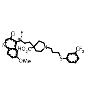 COc1ccc2ncc(Cl)c([C@H](F)CCC3(C(=O)O)CCN(CCCSc4cccc(C(F)(F)F)c4)CC3)c2c1